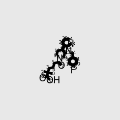 CC(C)(CCCC(=O)N1CCc2c(n(Cc3ccc(F)cc3)c3ncccc23)C1)C(=O)O